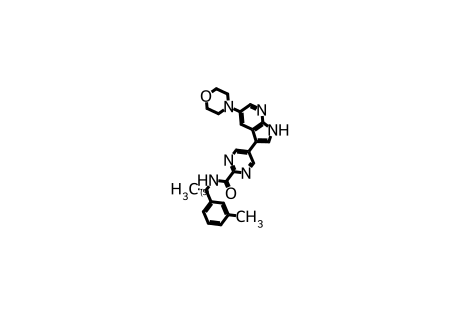 Cc1cccc([C@H](C)NC(=O)c2ncc(-c3c[nH]c4ncc(N5CCOCC5)cc34)cn2)c1